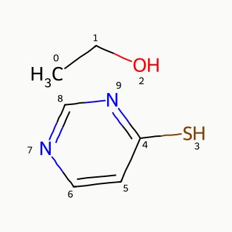 CCO.Sc1ccncn1